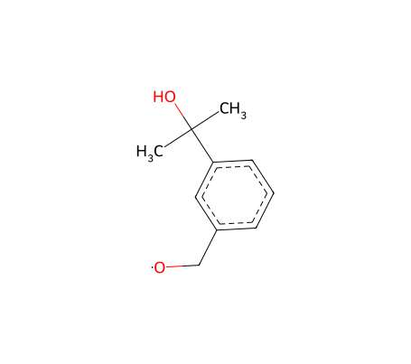 CC(C)(O)c1cccc(C[O])c1